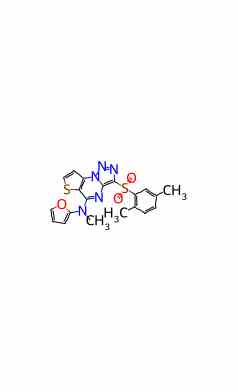 Cc1ccc(C)c(S(=O)(=O)c2nnn3c2nc(N(C)c2ccco2)c2sccc23)c1